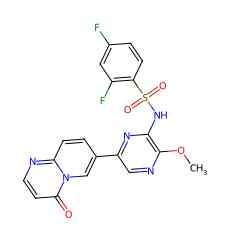 COc1ncc(-c2ccc3nccc(=O)n3c2)nc1NS(=O)(=O)c1ccc(F)cc1F